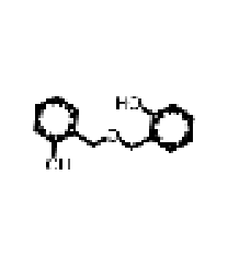 Oc1ccccc1COCc1ccccc1O